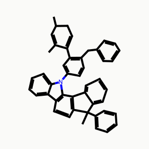 CC1=CC(C)CC=C1c1cc(-n2c3ccccc3c3ccc4c(c32)-c2ccccc2C4(C)c2ccccc2)ccc1Cc1ccccc1